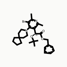 Cc1nc(C)c([C@H](OC(C)(C)C)C(=O)OCc2ccccc2)c(N2CCC3(CCCC3)CC2)c1Br